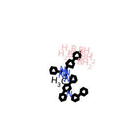 Bc1c(B)c(B)c(-c2ccc(-c3nc(-c4ccccc4)nc(N(C)c4ccccc4-c4ccc5c6ccccc6n(-c6cccc(-c7ccccc7)c6)c5c4)n3)cc2)c(B)c1B